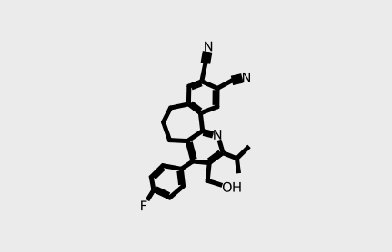 CC(C)c1nc2c(c(-c3ccc(F)cc3)c1CO)CCCc1cc(C#N)c(C#N)cc1-2